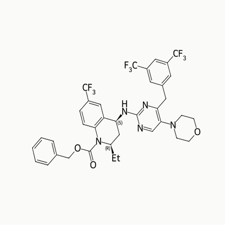 CC[C@@H]1C[C@H](Nc2ncc(N3CCOCC3)c(Cc3cc(C(F)(F)F)cc(C(F)(F)F)c3)n2)c2cc(C(F)(F)F)ccc2N1C(=O)OCc1ccccc1